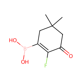 CC1(C)CC(=O)C(F)=C(B(O)O)C1